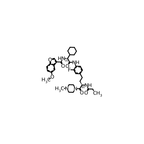 CCC(=O)N[C@H](CCc1ccc(NC(=O)[C@@H](NC(=O)c2coc3ccc(OC)cc23)C2CCCCC2)c(F)c1)C(=O)N1CCN(C)CC1